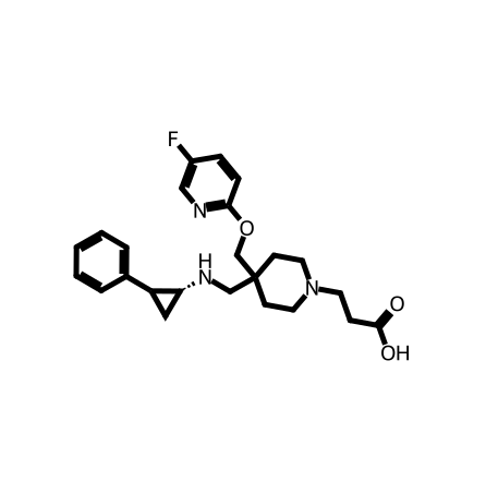 O=C(O)CCN1CCC(CN[C@@H]2CC2c2ccccc2)(COc2ccc(F)cn2)CC1